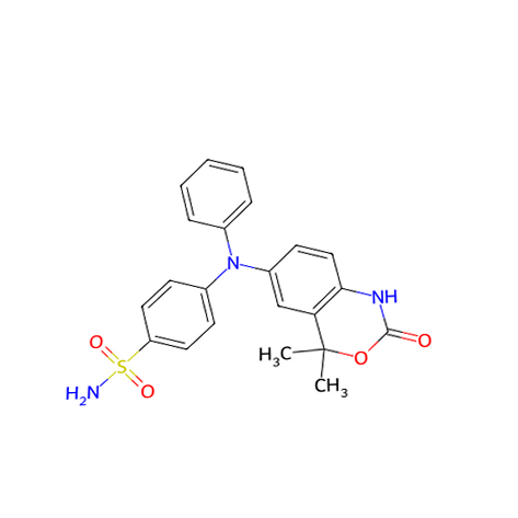 CC1(C)OC(=O)Nc2ccc(N(c3ccccc3)c3ccc(S(N)(=O)=O)cc3)cc21